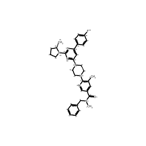 Cc1cc(C(=O)N(C)Cc2ccccc2)cnc1N1CCN(c2cc(-c3ccc(F)cc3)nc(N3CCCC3C)n2)CC1